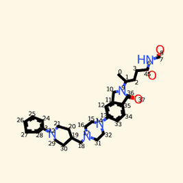 CC(CCC(=O)NC=O)N1Cc2cc(N3CCN(CC4CCN(c5ccccc5)CC4)CC3)ccc2C1=O